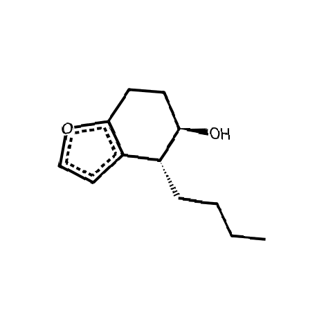 CCCC[C@@H]1c2ccoc2CC[C@H]1O